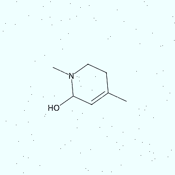 CC1=CC(O)N(C)CC1